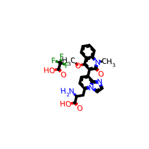 COc1c(-c2ccc(CC(N)C(=O)O)n3ccnc23)c(=O)n(C)c2ccccc12.O=C(O)C(F)(F)F